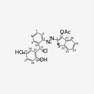 CC(=O)Oc1c(N=Nc2ccccc2C(Cl)c2cc(O)ccc2O)sc2ccccc12